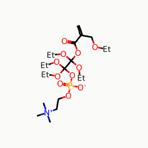 C=C(COCC)C(=O)OC(OCC)(OCC)C(OCC)(OCC)OP(=O)([O-])OCC[N+](C)(C)C